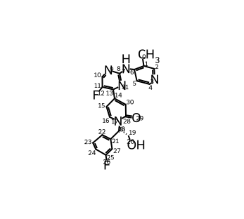 Cc1cnccc1Nc1ncc(F)c(-c2ccn([C@H](CO)c3cccc(F)c3)c(=O)c2)n1